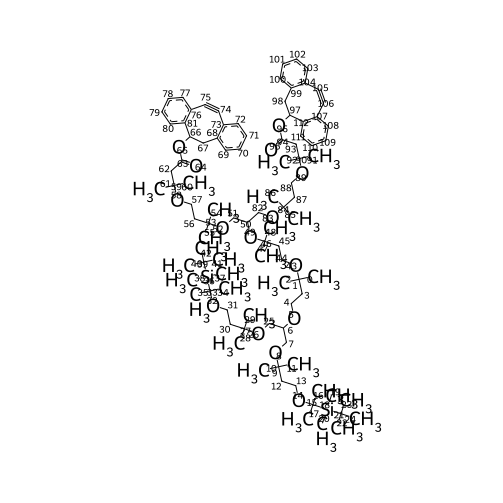 CC(C)(CCOC(COC(C)(C)CCOC(C)(C)[Si](C)(C)C(C)(C)C)COC(C)(C)CCOC(C)(C)[Si](C)(C)C(C)(C)C)OCCC(C)(C)OC(COC(C)(C)CCOC(C)(C)CC(=O)OC1Cc2ccccc2C#Cc2ccccc21)COC(C)(C)CCOC(C)(C)CC(=O)OC1Cc2ccccc2C#Cc2ccccc21